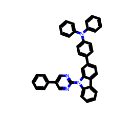 c1ccc(-c2cnc(-n3c4ccccc4c4ccc(-c5ccc(N(c6ccccc6)c6ccccc6)cc5)cc43)nc2)cc1